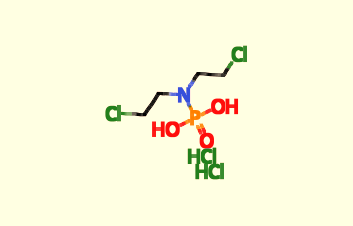 Cl.Cl.O=P(O)(O)N(CCCl)CCCl